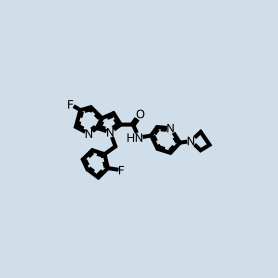 O=C(Nc1ccc(N2CCC2)nc1)c1cc2cc(F)cnc2n1Cc1ccccc1F